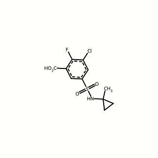 CC1(NS(=O)(=O)c2cc(Cl)c(F)c(C(=O)O)c2)CC1